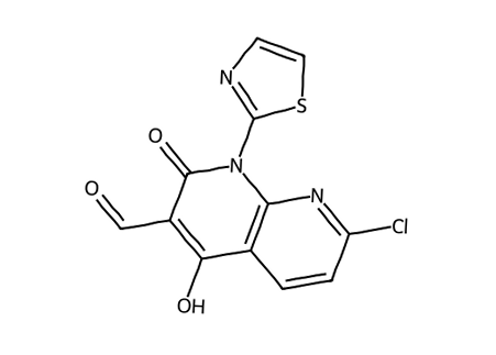 O=Cc1c(O)c2ccc(Cl)nc2n(-c2nccs2)c1=O